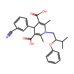 CC1=C(C(=O)O)C(c2cccc(C#N)c2)C(C(=O)O)=C(C)N1CC(Oc1ccccc1)C(C)C